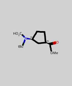 COC(=O)[C@@H]1CC[C@H](N(C(=O)O)C(C)(C)C)C1